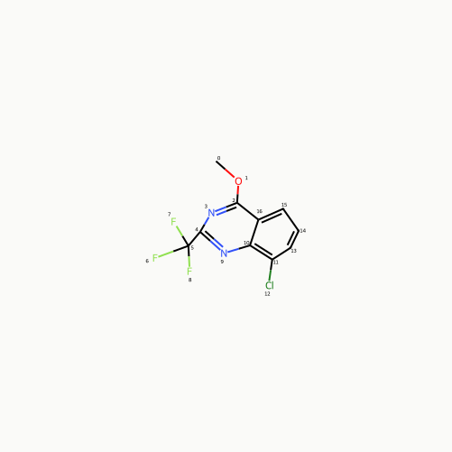 COc1nc(C(F)(F)F)nc2c(Cl)cccc12